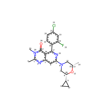 Cc1nc2cc(N3C[C@@H](C4CC4)O[C@@H](C)C3)nc(-c3ccc(Cl)cc3F)c2c(=O)n1C